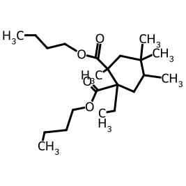 CCCCOC(=O)C1(C)CC(C)(C)C(C)CC1(CC)C(=O)OCCCC